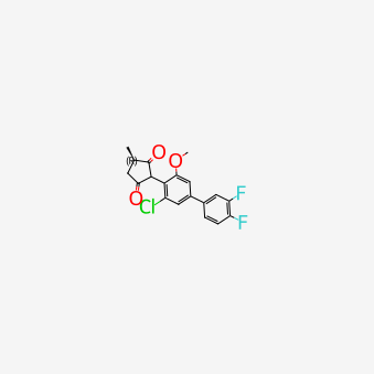 COc1cc(-c2ccc(F)c(F)c2)cc(Cl)c1C1C(=O)C[C@@H](C)C1=O